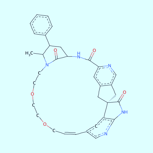 CC1C(c2ccccc2)CC2NC(=O)c3cc4c(cn3)C[C@]3(C4)C(=O)Nc4ncc(cc43)C=CCOCCOCCN1C2=O